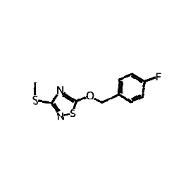 CSc1nsc(OCc2ccc(F)cc2)n1